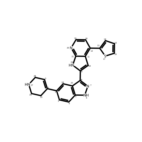 C1=C(c2ccc3[nH]nc(-c4cc5c(-c6cccs6)ccnc5[nH]4)c3c2)CCNC1